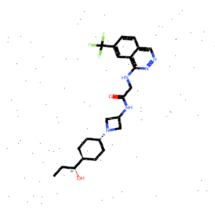 CC[C@@H](O)[C@H]1CC[C@H](N2CC(NC(=O)CNc3nncc4ccc(C(F)(F)F)cc34)C2)CC1